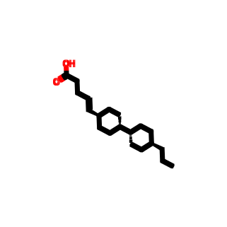 CCC[C@H]1CC[C@H]([C@H]2CC[C@H](C=CCCC(=O)O)CC2)CC1